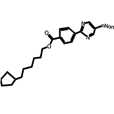 CCCCCCCCCc1cnc(-c2ccc(C(=O)OCCCCCCC3CCCC3)cc2)nc1